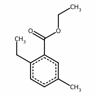 CCOC(=O)c1cc(C)ccc1CC